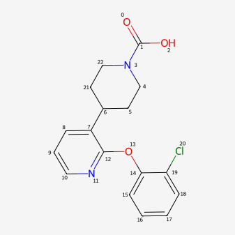 O=C(O)N1CCC(c2cccnc2Oc2ccccc2Cl)CC1